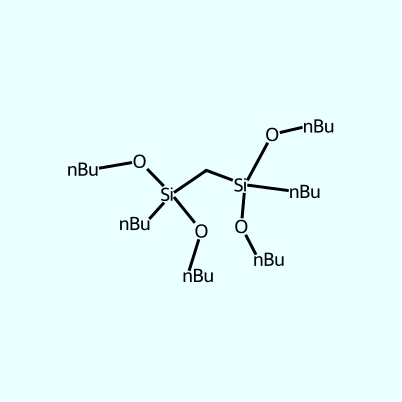 CCCCO[Si](CCCC)(C[Si](CCCC)(OCCCC)OCCCC)OCCCC